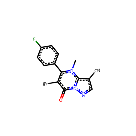 CC(C)c1c(-c2ccc(F)cc2)n(C)c2c(C#N)cnn2c1=O